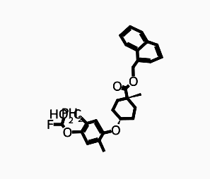 Cc1cc(OC(F)P)c(C(=O)O)cc1O[C@H]1CC[C@@](C)(C(=O)OCc2cccc3ccccc23)CC1